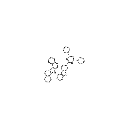 c1ccc(-c2nc(-c3ccccc3)nc(-c3ccc4c(c3)oc3cccc(-n5c6ccc7ccccc7c6c6ccc7ccccc7c65)c34)n2)cc1